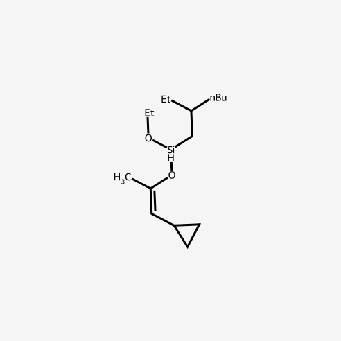 CCCCC(CC)C[SiH](OCC)OC(C)=CC1CC1